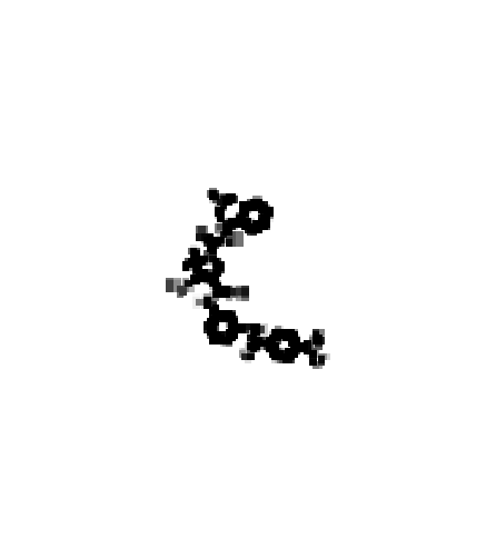 CN(C)C[C@@H](NC(=O)N1CC(C(=N)Nc2cccc(NC(=O)c3ccc([N+](=O)[O-])cc3)c2)=C(N)C1(C)C)c1ccccc1